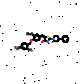 COc1cc(C=C2SC(N3CCC(c4ccccc4)CC3)=NC2=O)ccc1OCc1ccc(C(F)(F)F)cc1C(F)(F)F